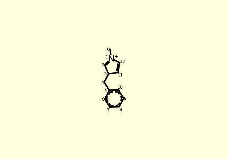 C[N+]1=CC(Cc2ccccc2)C=C1